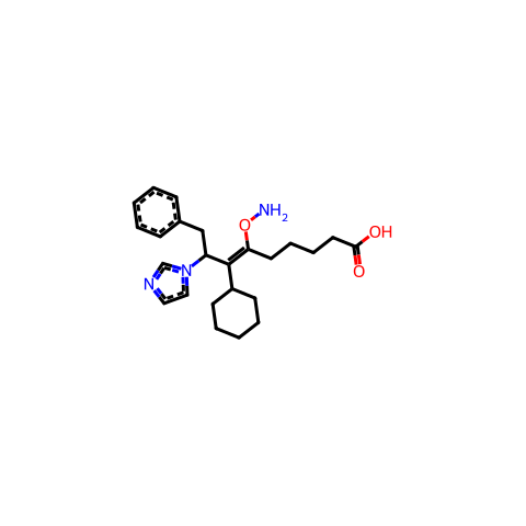 NO/C(CCCCC(=O)O)=C(/C1CCCCC1)C(Cc1ccccc1)n1ccnc1